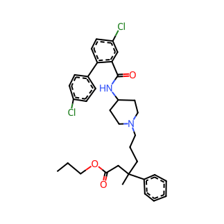 CCCOC(=O)CC(C)(CCCN1CCC(NC(=O)c2cc(Cl)ccc2-c2ccc(Cl)cc2)CC1)c1ccccc1